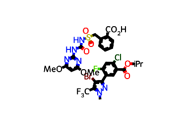 CC(C)OC(=O)c1cc(-c2nn(C)c(C(F)(F)F)c2Br)c(F)cc1Cl.COc1cc(OC)nc(NC(=O)NS(=O)(=O)Cc2ccccc2C(=O)O)n1